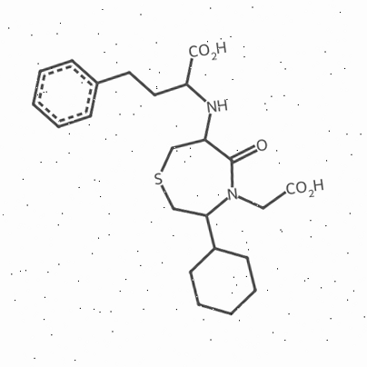 O=C(O)CN1C(=O)C(NC(CCc2ccccc2)C(=O)O)CSCC1C1CCCCC1